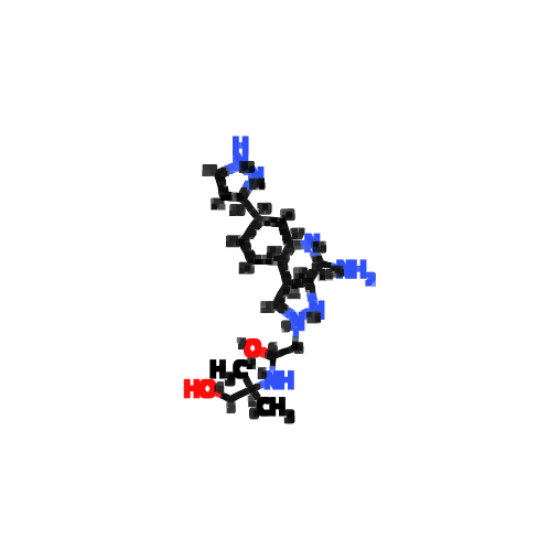 CC(C)(CO)NC(=O)Cn1cc2c(n1)c(N)nc1cc(-c3cc[nH]n3)ccc12